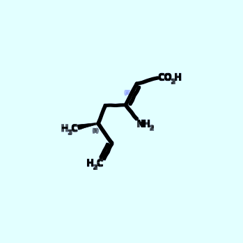 C=C[C@@H](C)C/C(N)=C/C(=O)O